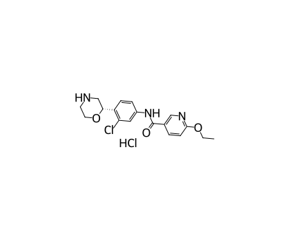 CCOc1ccc(C(=O)Nc2ccc([C@H]3CNCCO3)c(Cl)c2)cn1.Cl